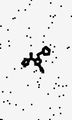 N#Cc1nc(Cc2ccccc2)n(C(=O)n2cncn2)n1